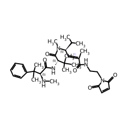 CN[C@H](C(=O)N[C@H](C(=O)N(C)[C@H](/C=C(\C)C(=O)NCCN1C(=O)C=CC1=O)C(C)C)C(C)(C)C)C(C)(C)c1ccccc1